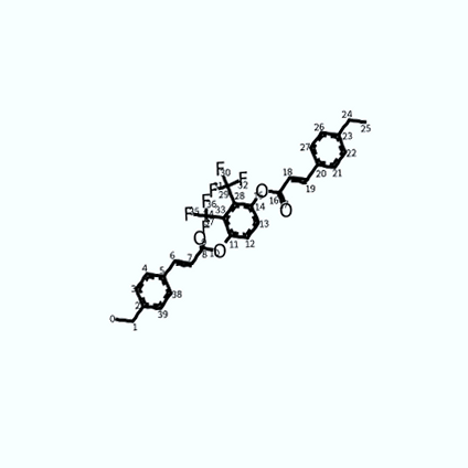 CCc1ccc(/C=C/C(=O)Oc2ccc(OC(=O)/C=C/c3ccc(CC)cc3)c(C(F)(F)F)c2C(F)(F)F)cc1